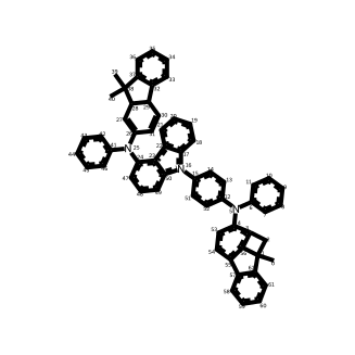 CC12Cc3c(N(c4ccccc4)c4ccc(-n5c6ccccc6c6c(N(C7=CC8C(C=C7)c7ccccc7C8(C)C)c7ccccc7)cccc65)cc4)ccc(c31)-c1ccccc12